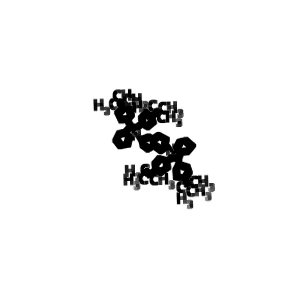 CC(C)(C)c1ccc(-c2c(-c3ccc(C(C)(C)C)cc3)n(-c3ccc4cc(-n5c(-c6ccc(C(C)(C)C)cc6)c(-c6ccc(C(C)(C)C)cc6)c6ccccc65)ccc4c3)c3ccccc23)cc1